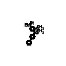 CCN(CC)c1ccc(C(=O)c2ccc(-c3ccccc3)cc2)c([SiH](C)C)c1